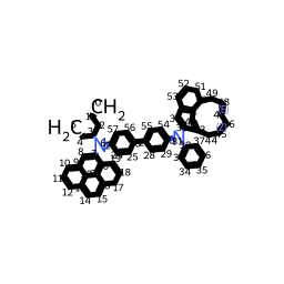 C=CCC(C=C)N(C1=CC2=CC=CC3=CC=C4CC=CC1=C4C32)c1ccc(-c2ccc(N(c3ccccc3)c3cc4c5cc3C/C=C\C=C\CC5CC=C4)cc2)cc1